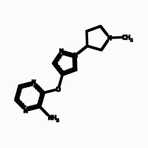 CN1CCC(n2cc(Oc3nccnc3N)cn2)C1